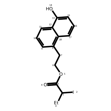 CCC(I)C(=O)OCCc1cccc2c(O)cccc12